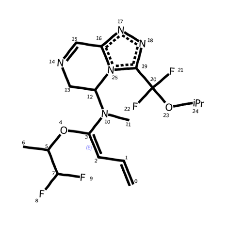 C=C/C=C(/OC(C)C(F)F)N(C)C1CN=Cc2nnc(C(F)(F)OC(C)C)n21